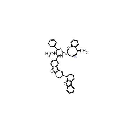 C=C1/C=C\C[C@@H](C2=NC(C3=CC=CCC3)N(C)C(c3ccc4oc5c(c4c3)C=C(c3cccc4c3oc3ccccc34)CC5)=N2)Sc2ccccc21